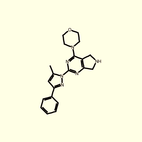 Cc1cc(-c2ccccc2)nn1-c1nc2c(c(N3CCOCC3)n1)CNC2